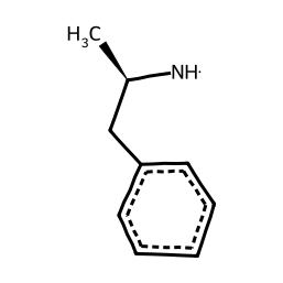 C[C@@H]([NH])Cc1ccccc1